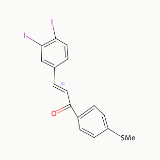 CSc1ccc(C(=O)/C=C/c2ccc(I)c(I)c2)cc1